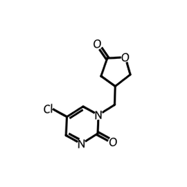 O=C1CC(Cn2cc(Cl)cnc2=O)CO1